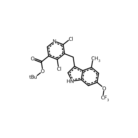 Cc1cc(OC(F)(F)F)cc2[nH]cc(Cc3c(Cl)ncc(C(=O)OC(C)(C)C)c3Cl)c12